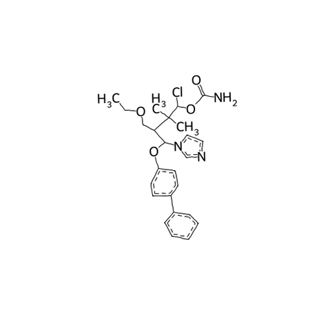 CCOCC(C(Oc1ccc(-c2ccccc2)cc1)n1ccnc1)C(C)(C)C(Cl)OC(N)=O